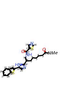 CNC(=O)CCCCCC(CNC(=O)c1cncs1)c1ncc(-c2cc3ccccc3s2)[nH]1